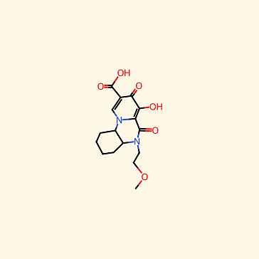 COCCN1C(=O)c2c(O)c(=O)c(C(=O)O)cn2C2CCCCC21